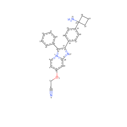 N#CCOc1ccn2c(-c3ccccc3)c(-c3ccc(C4(N)CCC4)cc3)nc2c1